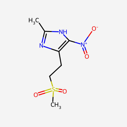 Cc1nc(CCS(C)(=O)=O)c([N+](=O)[O-])[nH]1